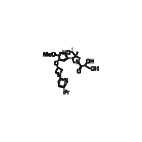 COc1ccc([C@@H]2CN(C(=O)[C@@H](O)CO)C[C@@]2(C)[C@@H](C)O)cc1OC1CN(c2ccc(C(C)C)cn2)C1